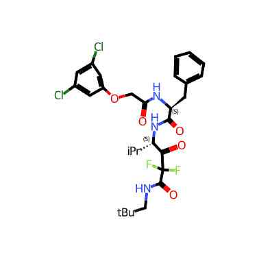 CC(C)[C@H](NC(=O)[C@H](Cc1ccccc1)NC(=O)COc1cc(Cl)cc(Cl)c1)C(=O)C(F)(F)C(=O)NCC(C)(C)C